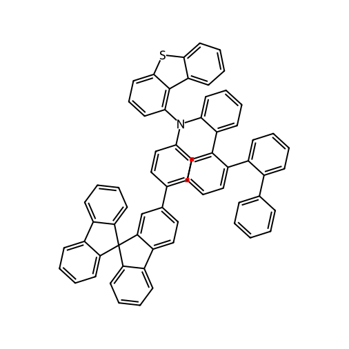 c1ccc(-c2ccccc2-c2ccccc2-c2ccccc2N(c2ccc(-c3ccc4c(c3)C3(c5ccccc5-c5ccccc53)c3ccccc3-4)cc2)c2cccc3sc4ccccc4c23)cc1